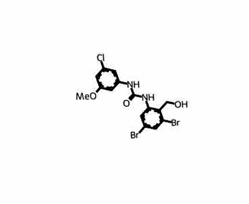 COc1cc(Cl)cc(NC(=O)Nc2cc(Br)cc(Br)c2CO)c1